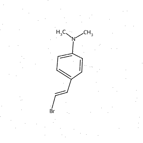 CN(C)c1ccc(C=CBr)cc1